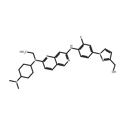 CN(C)C1CCC(N(CC(=O)O)c2ccc3cnc(Nc4ccc(-n5ccc(CO)n5)cc4F)cc3n2)CC1